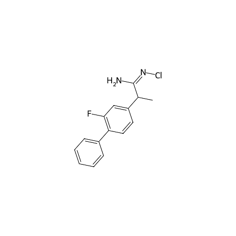 CC(/C(N)=N\Cl)c1ccc(-c2ccccc2)c(F)c1